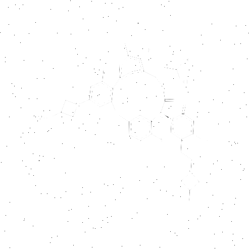 COC1CN(c2cc(C)c3c(c2)Oc2ccc(F)c(c2)[C@H](n2cc(CCN4CC(F)C4)c(C(F)(F)F)cc2=O)C(=O)N[C@@H](CC(O)O)c2cc-3cc(C)c2F)C1